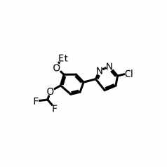 CCOc1cc(-c2ccc(Cl)nn2)ccc1OC(F)F